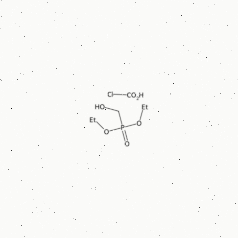 CCOP(=O)(CO)OCC.O=C(O)Cl